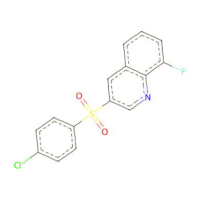 O=S(=O)(c1ccc(Cl)cc1)c1cnc2c(F)cccc2c1